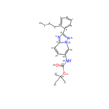 CCCCc1ccccc1-c1nc2ccc(NC(=O)OC(C)(C)C)cn2n1